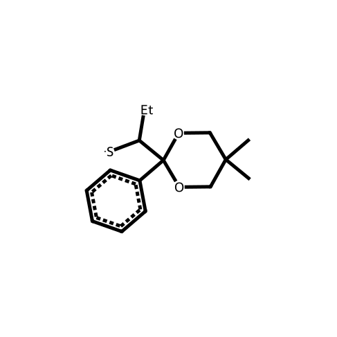 CCC([S])C1(c2ccccc2)OCC(C)(C)CO1